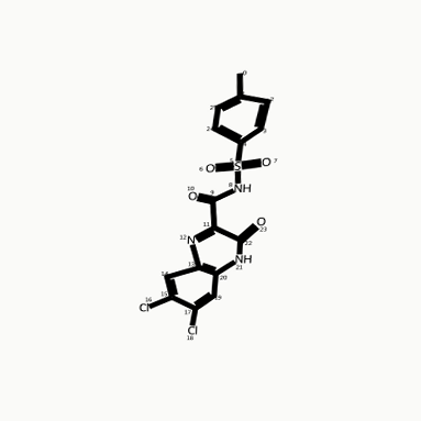 Cc1ccc(S(=O)(=O)NC(=O)c2nc3cc(Cl)c(Cl)cc3[nH]c2=O)cc1